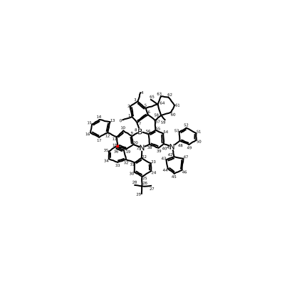 Cc1cc(C)c2c3c1B1c4cc(-c5ccccc5)ccc4N(c4ccc(C(C)(C)C)cc4-c4ccccc4)c4cc(N(c5ccccc5)c5ccccc5)cc(c41)C3C1(C)CCCCC21C